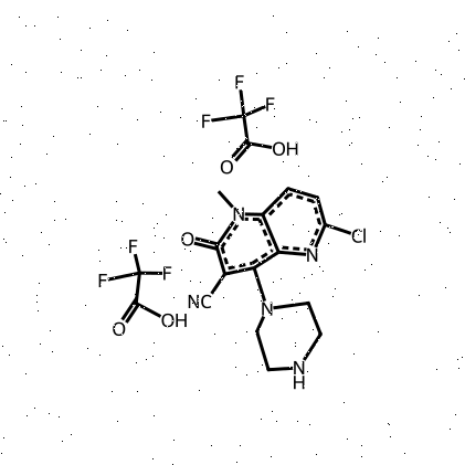 Cn1c(=O)c(C#N)c(N2CCNCC2)c2nc(Cl)ccc21.O=C(O)C(F)(F)F.O=C(O)C(F)(F)F